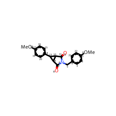 COc1ccc(CN2C(=O)C3C(C2=O)C3c2ccc(OC)cc2)cc1